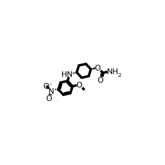 COc1ccc([N+](=O)[O-])cc1N[C@H]1CC[C@H](OC(N)=O)CC1